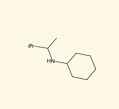 CC(C)C(C)NC1CCCCC1